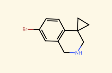 Brc1ccc2c(c1)CNCC21CC1